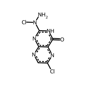 NN(Cl)c1nc2ncc(Cl)nc2c(=O)[nH]1